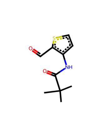 CC(C)(C)C(=O)Nc1ccsc1C=O